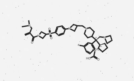 C=C(CN(C)C)C(=O)N1CC(S(=O)(=O)c2ccc(N3CC(CN4CCC([C@@](CN5CCC5)(c5cccc(F)c5)[C@H]5CCC[C@@H]5NC(=O)O)CC4)C3)cc2)C1